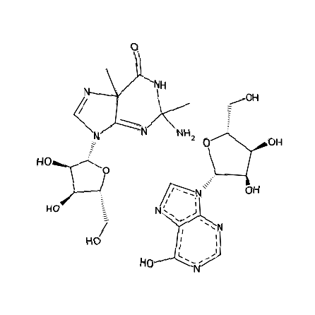 CC1(N)N=C2N([C@@H]3O[C@H](CO)[C@@H](O)[C@H]3O)C=NC2(C)C(=O)N1.OC[C@H]1O[C@@H](n2cnc3c(O)ncnc32)[C@H](O)[C@@H]1O